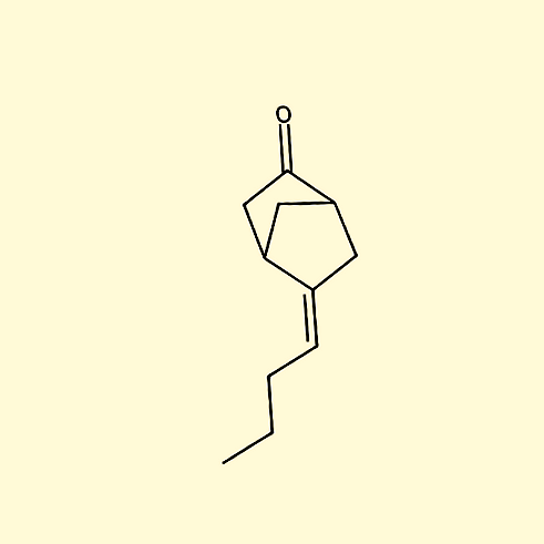 CCCC=C1CC2CC1CC2=O